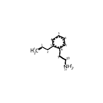 C=CCc1ccccc1CCN